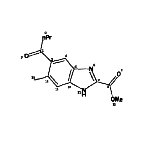 CCCC(=O)c1cc2nc(C(=O)OC)[nH]c2cc1C